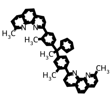 Cc1ccc2ccc3ccc(-c4ccc(C(C)(c5ccccc5)c5ccc(-c6ccc7ccc8ccc(C)nc8c7n6)c(C)c5)cc4C)nc3c2n1